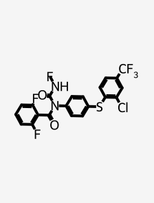 O=C(NF)N(C(=O)c1c(F)cccc1F)c1ccc(Sc2ccc(C(F)(F)F)cc2Cl)cc1